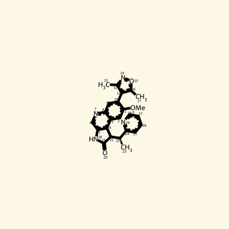 COc1cc2c3c(cnc2cc1-c1c(C)noc1C)NC(=O)C3[C@H](C)c1ccccn1